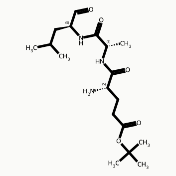 CC(C)C[C@@H](C=O)NC(=O)[C@H](C)NC(=O)[C@@H](N)CCC(=O)OC(C)(C)C